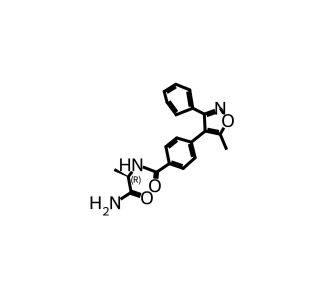 Cc1onc(-c2ccccc2)c1-c1ccc(C(=O)N[C@H](C)C(N)=O)cc1